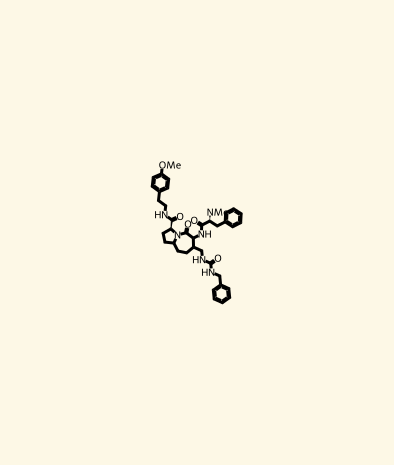 CN[C@H](Cc1ccccc1)C(=O)NC1C(=O)N2C(CCC1CNC(=O)NCc1ccccc1)CC[C@H]2C(=O)NCCc1ccc(OC)cc1